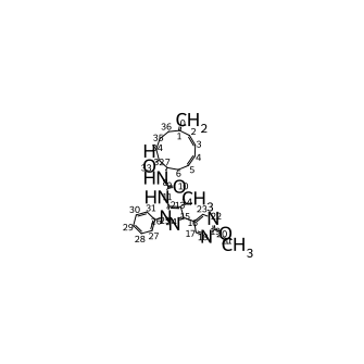 C=C1/C=C\C=C/C[C@@H](NC(=O)Nc2c(C)c(-c3cnc(OC)nc3)nn2-c2ccccc2)C(O)CCC1